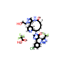 C[C@@H]1CCC[C@H](n2cnc(-c3cc(Cl)ccc3-n3cc(C(F)F)nn3)cc2=O)c2cc(ccn2)-c2c(cnn2CCO)NC1=O.O=C(O)C(F)(F)F